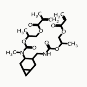 C=CC(=O)OCC(C)OC(=O)NCC1CC2CC2CC1N(C)C(=O)OC(C)COC(=O)C(=C)C